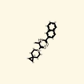 CC(NC(=O)c1ccc2ccccc2c1)C(=O)N1CCC2(CC1)CC2